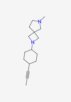 CC#CC1CCC(N2CC3(CCN(C)C3)C2)CC1